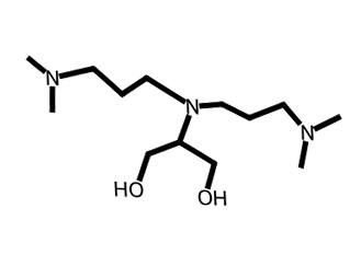 CN(C)CCCN(CCCN(C)C)C(CO)CO